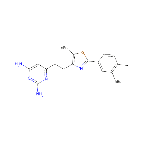 CCCCc1cc(-c2nc(CCc3cc(N)nc(N)n3)c(CCC)s2)ccc1C